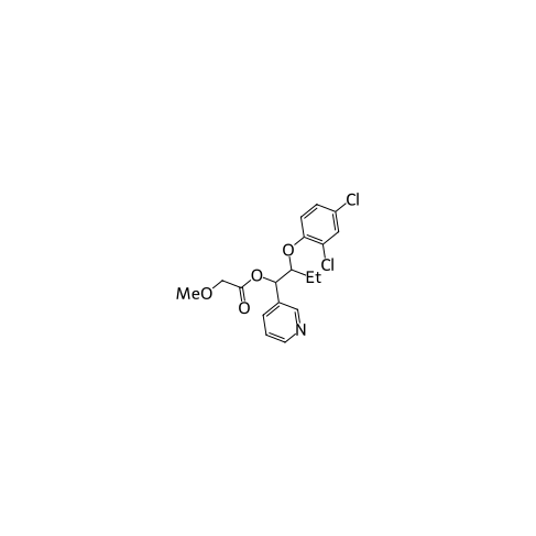 CCC(Oc1ccc(Cl)cc1Cl)C(OC(=O)COC)c1cccnc1